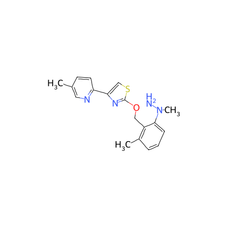 Cc1ccc(-c2csc(OCc3c(C)cccc3N(C)N)n2)nc1